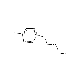 COCCSc1ccc(C)cc1